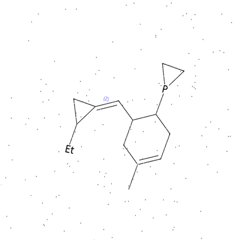 CCC1C/C1=C/C1CC(C)=CCC1P1CC1